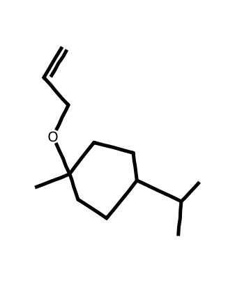 C=CCOC1(C)CCC(C(C)C)CC1